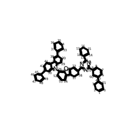 C1=CCCC(c2cccc(-c3nc(C4=CCCC=C4)nc(C4=Cc5oc6c(-n7c8ccc(-c9ccccc9)cc8c8ccc(-c9ccccc9)cc87)cccc6c5CC4)n3)c2)=C1